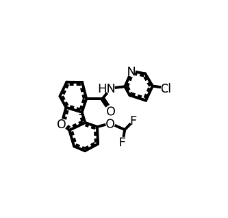 O=C(Nc1ccc(Cl)cn1)c1cccc2oc3cccc(OC(F)F)c3c12